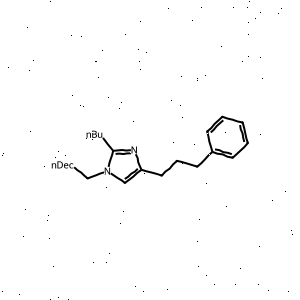 CCCCCCCCCCCn1cc(CCCc2ccccc2)nc1CCCC